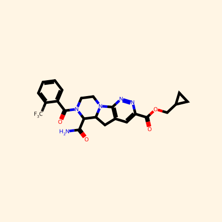 NC(=O)C1C2Cc3cc(C(=O)OCC4CC4)nnc3N2CCN1C(=O)c1ccccc1C(F)(F)F